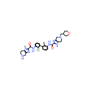 Cc1c(NC(=O)c2nc3c(n2C)CCN(CC2CCOCC2)C3)cccc1-c1cccc(NC(=O)c2nc3c(n2C)CCNC3)c1Cl